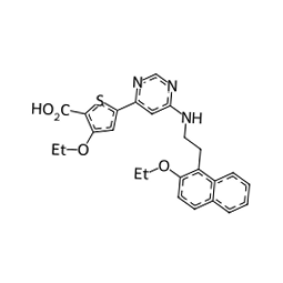 CCOc1cc(-c2cc(NCCc3c(OCC)ccc4ccccc34)ncn2)sc1C(=O)O